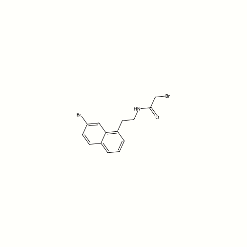 O=C(CBr)NCCc1cccc2ccc(Br)cc12